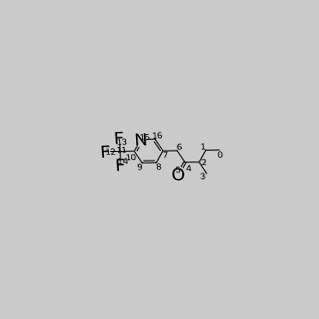 CCC(C)C(=O)Cc1ccc(C(F)(F)F)nc1